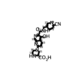 N#Cc1ccc(CNC(=O)c2ncc3nc(N4CCNC(C(=O)O)C4)ccc3c2O)cn1